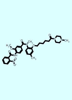 COc1cc(C(=O)N(C)c2ccc(C)cc2OCCCCCC(=O)N2CCN(C)CC2)ccc1NC(=O)c1ccccc1[N+](=O)[O-]